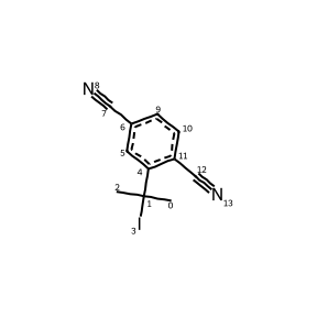 CC(C)(I)c1cc(C#N)ccc1C#N